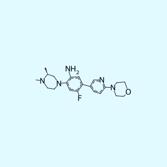 C[C@H]1CN(c2cc(F)c(-c3ccc(N4CCOCC4)nc3)cc2N)CCN1C